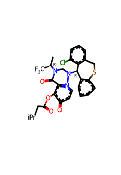 CC(C)CC(=O)Oc1c2n(ccc1=O)N([C@@H]1c3ccccc3SCc3cccc(Cl)c31)CN([C@H](C)C(F)(F)F)C2=O